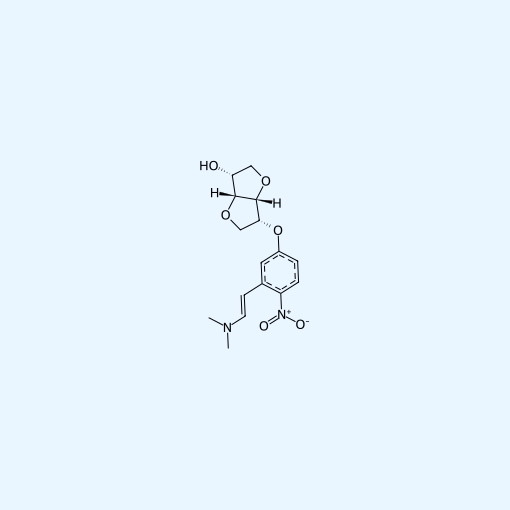 CN(C)/C=C/c1cc(O[C@@H]2CO[C@H]3[C@@H]2OC[C@H]3O)ccc1[N+](=O)[O-]